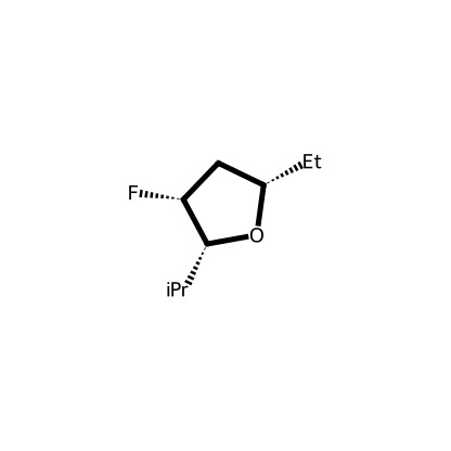 CC[C@H]1C[C@@H](F)[C@@H](C(C)C)O1